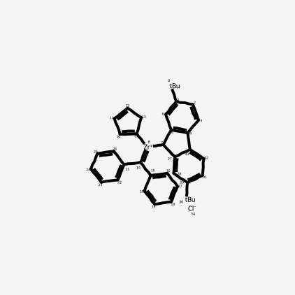 CC(C)(C)c1ccc2c(c1)[CH]([Zr+]([C]1=CC=CC1)=[C](c1ccccc1)c1ccccc1)c1cc(C(C)(C)C)ccc1-2.[Cl-]